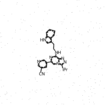 CC(C)c1nnc2c(NCCc3c[nH]c4ccccc34)nc(-c3cncc(C#N)c3)cn12